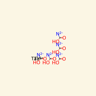 [N-2]C(=O)O.[N-2]C(=O)O.[N-2]C(=O)O.[N-2]C(=O)O.[N-2]C(=O)O.[Ta+5].[Ta+5]